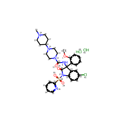 CCOc1ccccc1C1(NC(=O)N2CCN(C3CCN(C)CC3)CC2)C(=O)N(S(=O)(=O)c2ccccn2)c2ccc(Cl)cc21.Cl.Cl